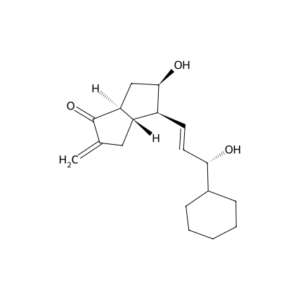 C=C1C[C@H]2[C@H](C=C[C@H](O)C3CCCCC3)[C@H](O)C[C@@H]2C1=O